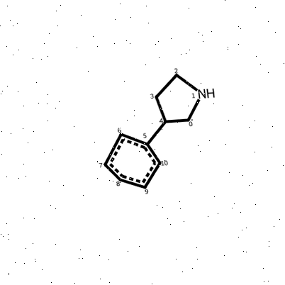 [CH]1NCCC1c1ccccc1